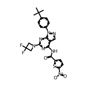 CC(C)(C)c1ccc(-n2ncc3c(NC(=O)c4ccc([N+](=O)[O-])s4)nc(N4CC(F)(F)C4)nc32)cc1